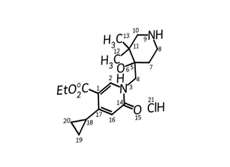 CCOC(=O)c1cn(CC2(O)CCNCC2(C)C)c(=O)cc1C1CC1.Cl